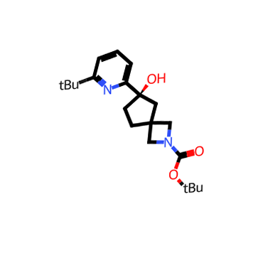 CC(C)(C)OC(=O)N1CC2(CC[C@](O)(c3cccc(C(C)(C)C)n3)C2)C1